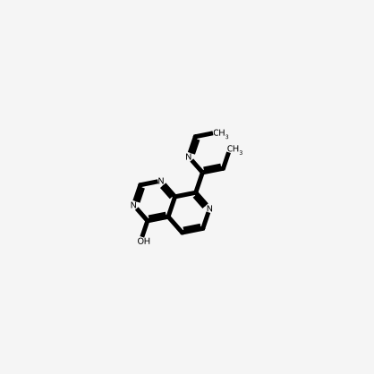 C/C=N\C(=C/C)c1nccc2c(O)ncnc12